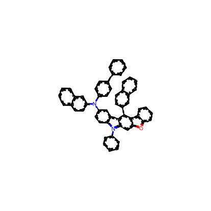 c1ccc(-c2ccc(N(c3ccc4ccccc4c3)c3ccc4c(c3)c3c(-c5ccc6ccccc6c5)c5c(cc3n4-c3ccccc3)oc3ccccc35)cc2)cc1